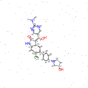 CN(C)c1ncc(C(O)=C2C(=O)Nc3cc(Cl)c(-c4ccc(N5CCC(O)C5)cc4)cc32)cn1